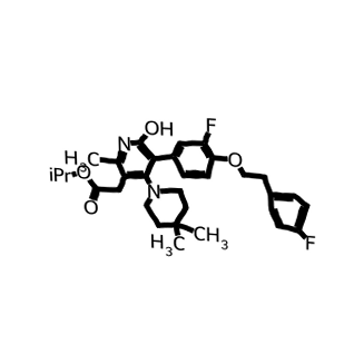 Cc1nc(O)c(-c2ccc(OCCc3ccc(F)cc3)c(F)c2)c(N2CCC(C)(C)CC2)c1CC(=O)OC(C)C